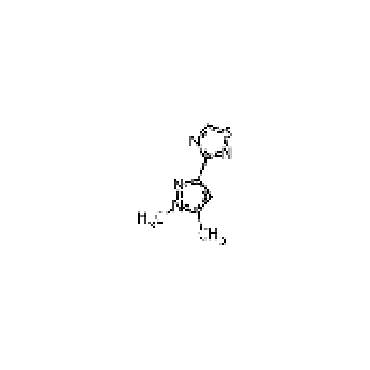 Cc1cc(-c2ncsn2)nn1C